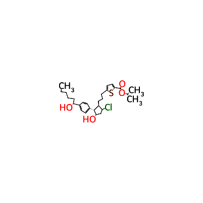 CCCCCC(O)c1ccc([C@@H]2[C@@H](CCCc3ccc(C(=O)OC(C)C)s3)[C@@H](Cl)C[C@H]2O)cc1